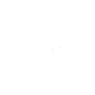 CC(C)C(C)C(=O)NP